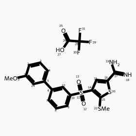 COc1cccc(-c2cccc(S(=O)(=O)c3cc(C(=N)N)sc3SC)c2)c1.O=C(O)C(F)(F)F